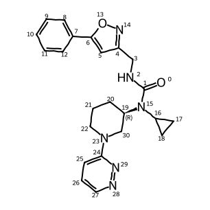 O=C(NCc1cc(-c2ccccc2)on1)N(C1CC1)[C@@H]1CCCN(c2cccnn2)C1